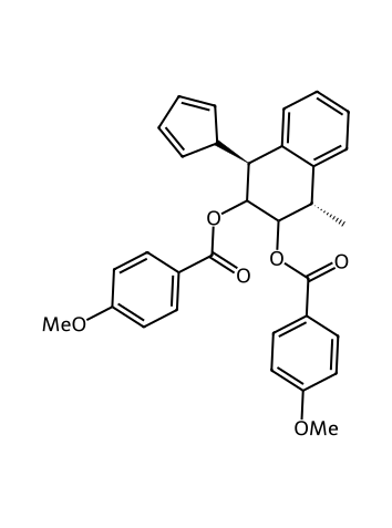 COc1ccc(C(=O)OC2C(OC(=O)c3ccc(OC)cc3)[C@@H](C)c3ccccc3[C@@H]2C2C=CC=C2)cc1